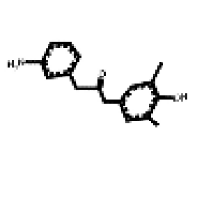 Cc1cc(CC(=O)Cc2cccc(N)c2)cc(C)c1O